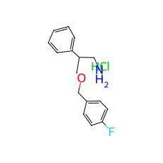 Cl.NCC(COCc1ccc(F)cc1)c1ccccc1